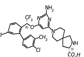 Cc1cc(-c2cc(Cl)ccc2[C@@H](Oc2cc(N3CCC4(CC3)CN[C@H](C(=O)O)C4)nc(N)n2)C(F)(F)F)ccc1Cl